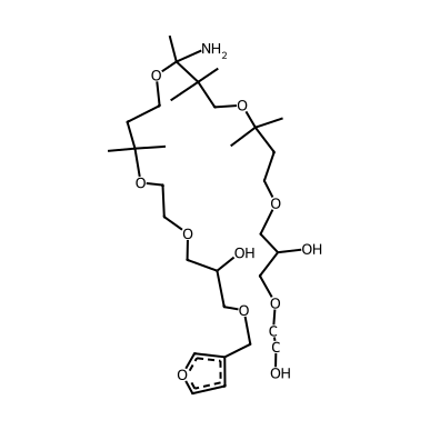 CC(C)(CCOC(C)(N)C(C)(C)COC(C)(C)CCOCC(O)COCCO)OCCOCC(O)COCc1ccoc1